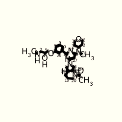 CNCC(O)COc1cccc(-c2nc(N3C[C@@H]4CCCN(C(C)=O)[C@@H]4C3)cc(N(C)C3CCOCC3)n2)c1